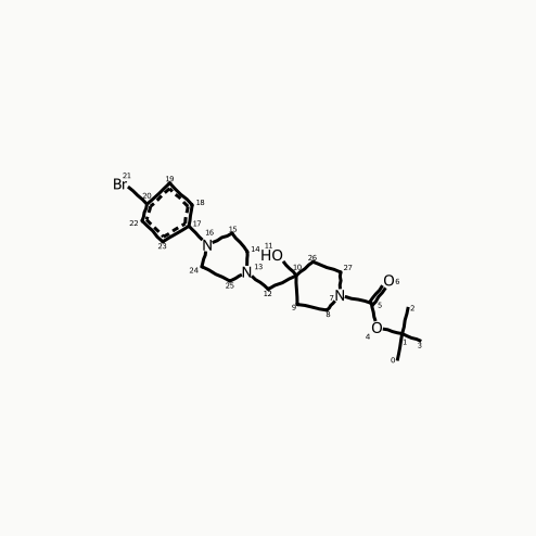 CC(C)(C)OC(=O)N1CCC(O)(CN2CCN(c3ccc(Br)cc3)CC2)CC1